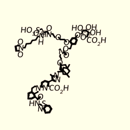 Cc1c(-c2ccc(N3CCc4cccc(C(=O)Nc5nc6ccccc6s5)c4C3)nc2C(=O)O)cnn1CC12CC3(C)CC(C)(C1)CC(OCCN(C)C(=O)OCc1ccc(O[C@@H]4O[C@H](C(=O)O)[C@@H](O)[C@H](O)[C@H]4O)cc1OCCOCCNC(=O)[C@H](CS(=O)(=O)O)NC(=O)CCCCCN1C(=O)C=CC1=O)(C3)C2